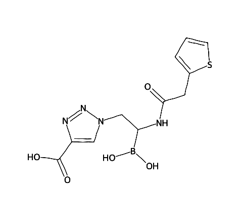 O=C(Cc1cccs1)NC(Cn1cc(C(=O)O)nn1)B(O)O